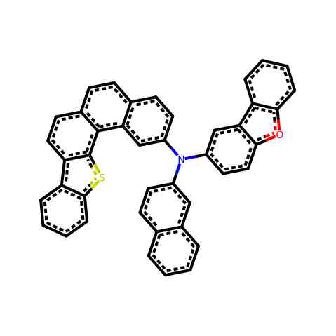 c1ccc2cc(N(c3ccc4oc5ccccc5c4c3)c3ccc4ccc5ccc6c7ccccc7sc6c5c4c3)ccc2c1